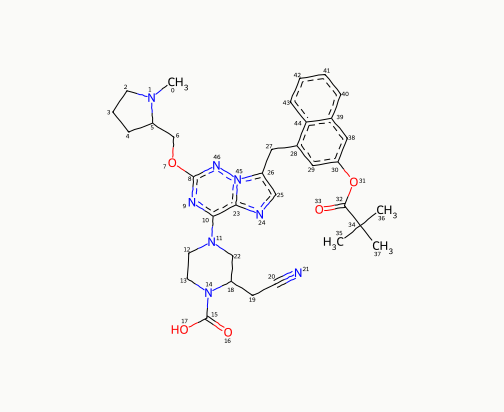 CN1CCCC1COc1nc(N2CCN(C(=O)O)C(CC#N)C2)c2ncc(Cc3cc(OC(=O)C(C)(C)C)cc4ccccc34)n2n1